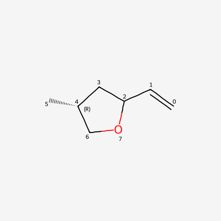 C=CC1C[C@@H](C)CO1